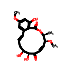 COc1cc(O)c2c(c1)/C=C/C[C@H](O)[C@H](O)C(=O)/C=C\[C@@H](OC)[C@H](C)OC2=O